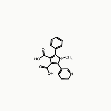 Cn1c(-c2ccccc2)c(C(=O)O)c(C(=O)O)c1-c1cccnc1